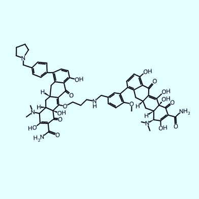 COc1ccc(CNCCCOC2=C3C(=O)c4c(O)ccc(-c5ccc(CN6CCCC6)cc5)c4C[C@H]3C[C@H]3C(N(C)C)C(O)=C(C(N)=O)C(=O)[C@@]23O)cc1-c1ccc(O)c2c1C[C@H]1C[C@H]3[C@H](N(C)C)C(O)=C(C(N)=O)C(=O)[C@@]3(O)C(O)=C1C2=O